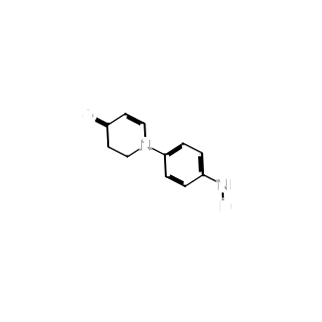 CCNc1ccc(N2C=CC(=O)CC2)cc1